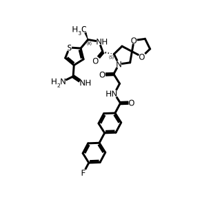 C[C@@H](NC(=O)[C@@H]1CC2(CN1C(=O)CNC(=O)c1ccc(-c3ccc(F)cc3)cc1)OCCO2)c1cc(C(=N)N)cs1